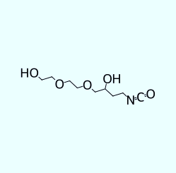 O=C=NCCC(O)COCCOCCO